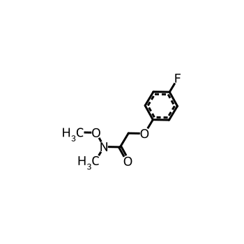 CON(C)C(=O)COc1ccc(F)cc1